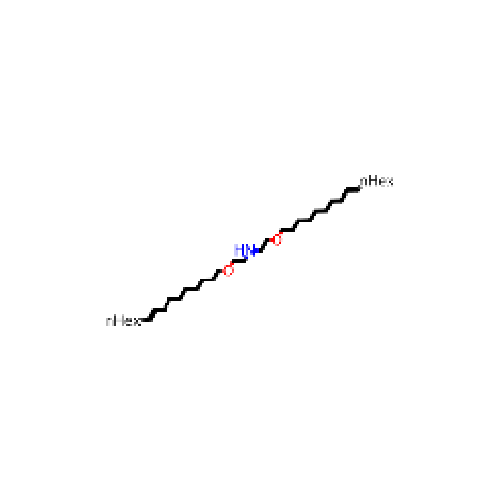 CCCCCCC=CCCCCCCCCOCCNCCOCCCCCCCCC=CCCCCCC